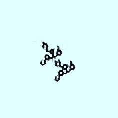 COc1cccc(CN(Cc2cccc(N3CCCC3)c2)c2cccc(CN3CCN(C)CC3)c2)c1.COc1cccc(CN(Cc2cccc(N3CCCC3)c2)c2cccc(CN3CCNCC3=O)c2)c1